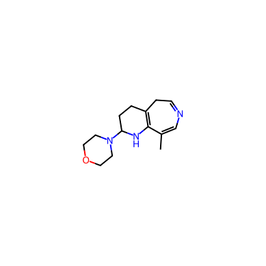 CC1=CN=CCC2=C1NC(N1CCOCC1)CC2